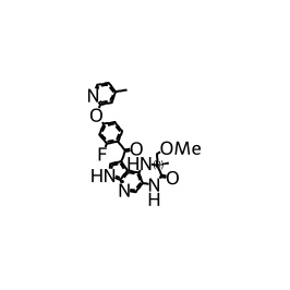 COC[C@@]1(C)Nc2c(cnc3[nH]cc(C(=O)c4ccc(Oc5cc(C)ccn5)cc4F)c23)NC1=O